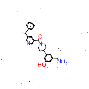 CC(c1ccccc1)c1cncc(C(=O)N2CCC(c3cc(O)cc(CN)c3)CC2)c1